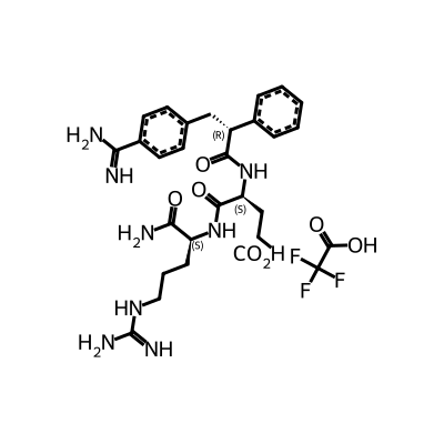 N=C(N)NCCC[C@H](NC(=O)[C@H](CCC(=O)O)NC(=O)[C@H](Cc1ccc(C(=N)N)cc1)c1ccccc1)C(N)=O.O=C(O)C(F)(F)F